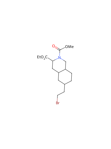 CCOC(=O)C1CC2CC(CCBr)CCC2CN1C(=O)OC